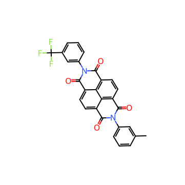 Cc1cccc(N2C(=O)c3ccc4c5c(ccc(c35)C2=O)C(=O)N(c2cccc(C(F)(F)F)c2)C4=O)c1